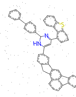 C1=C(c2ccc3c(c2)-c2cc4c5c(cccc5c2C3)-c2ccccc2-4)NC(c2ccc(-c3ccccc3)cc2)N=C1c1cccc2sc3ccccc3c12